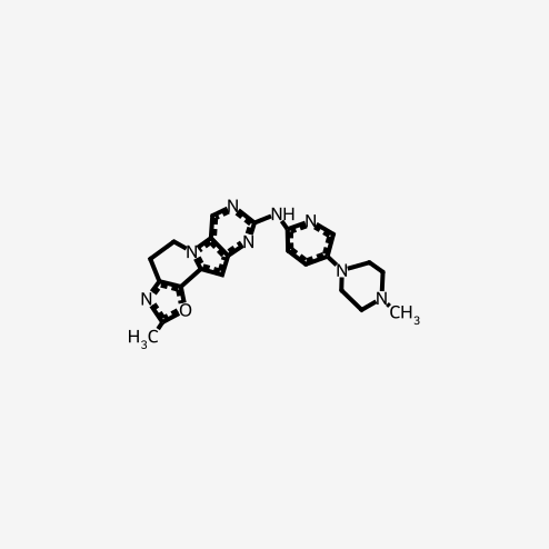 Cc1nc2c(o1)-c1cc3nc(Nc4ccc(N5CCN(C)CC5)cn4)ncc3n1CC2